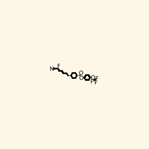 N#CC(F)=CC=CCC[C@H]1CC[C@H](C(=O)Oc2ccc(OC(F)(F)F)cc2)CC1